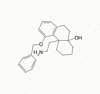 NCCC12CCCCC1(O)CCc1cccc(OCc3ccccc3)c12